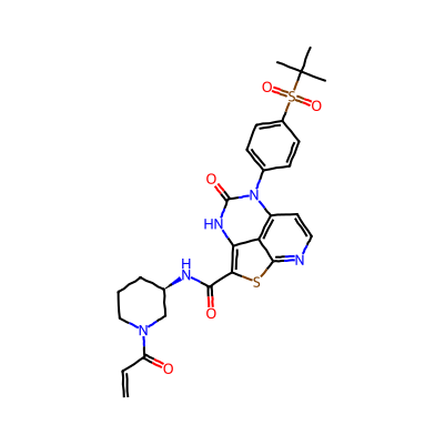 C=CC(=O)N1CCC[C@@H](NC(=O)c2sc3nccc4c3c2NC(=O)N4c2ccc(S(=O)(=O)C(C)(C)C)cc2)C1